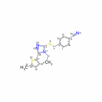 CCn1c(SCc2ccc(C#N)cc2)nnc1-c1ccc(C)s1